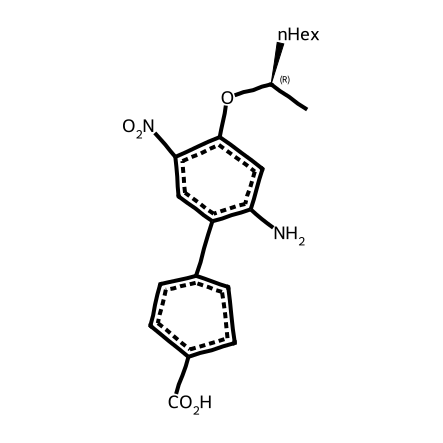 CCCCCC[C@@H](C)Oc1cc(N)c(-c2ccc(C(=O)O)cc2)cc1[N+](=O)[O-]